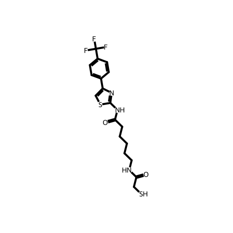 O=C(CS)NCCCCCC(=O)Nc1nc(-c2ccc(C(F)(F)F)cc2)cs1